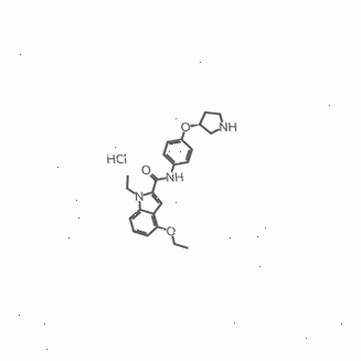 CCOc1cccc2c1cc(C(=O)Nc1ccc(O[C@H]3CCNC3)cc1)n2CC.Cl